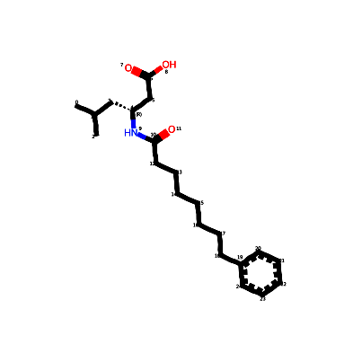 CC(C)C[C@H](CC(=O)O)NC(=O)CCCCCCCc1ccccc1